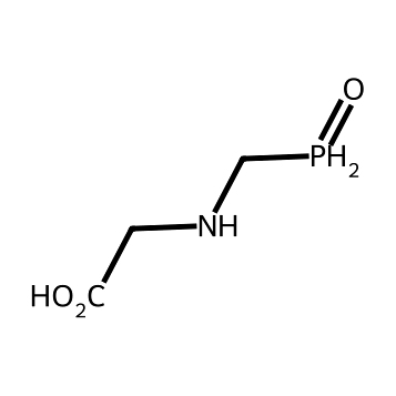 O=[PH2]CNCC(=O)O